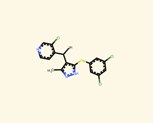 Cc1n[nH]c(Sc2cc(Cl)cc(Cl)c2)c1C(c1ccncc1Cl)C(C)C